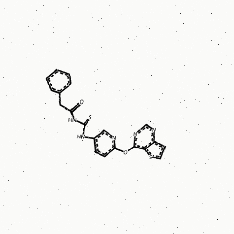 O=C(Cc1ccccc1)NC(=S)Nc1ccc(Oc2ncnc3ccsc23)nc1